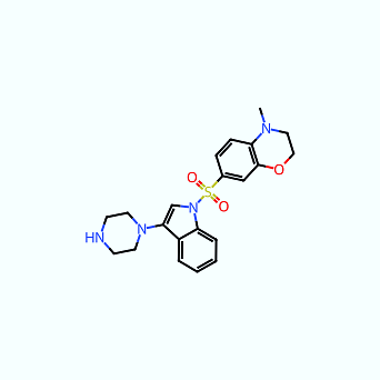 CN1CCOc2cc(S(=O)(=O)n3cc(N4CCNCC4)c4ccccc43)ccc21